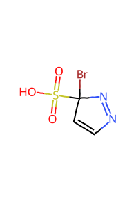 O=S(=O)(O)C1(Br)C=CN=N1